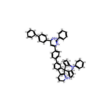 NC(/C=C(\N=C\c1ccccc1)c1ccc(-c2ccc3c(c2)C2(C4=C3C=CCN4)c3ccccc3N(c3ccccc3)c3ccccc32)cc1)c1ccc(-c2ccccc2)cc1